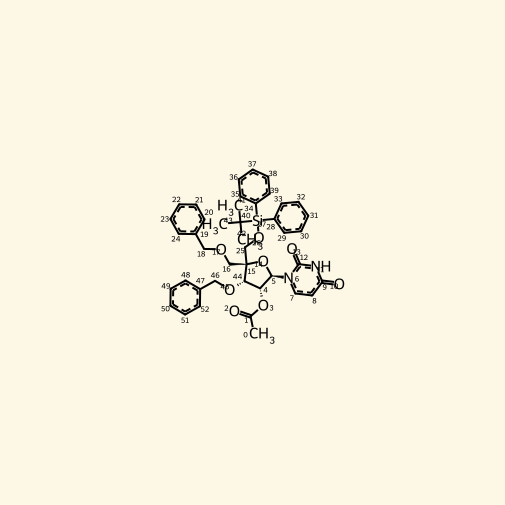 CC(=O)O[C@H]1[C@H](n2ccc(=O)[nH]c2=O)O[C@@](COCc2ccccc2)(CO[Si](c2ccccc2)(c2ccccc2)C(C)(C)C)[C@H]1OCc1ccccc1